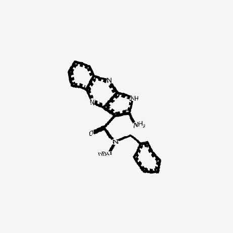 CCCCN(Cc1ccccc1)C(=O)c1c(N)[nH]c2nc3ccccc3nc12